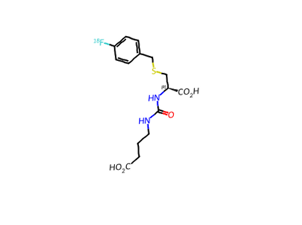 O=C(O)CCCNC(=O)N[C@@H](CSCc1ccc([18F])cc1)C(=O)O